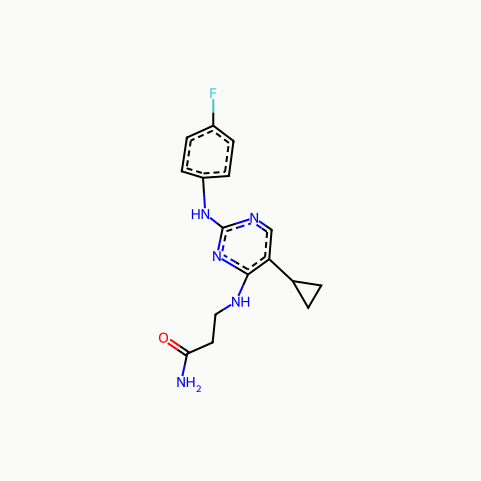 NC(=O)CCNc1nc(Nc2ccc(F)cc2)ncc1C1CC1